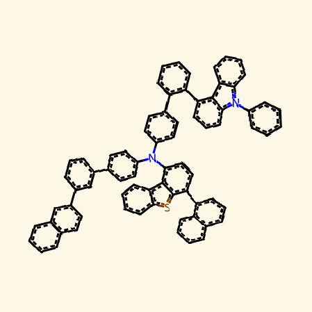 c1ccc(-n2c3ccccc3c3c(-c4ccccc4-c4ccc(N(c5ccc(-c6cccc(-c7ccc8ccccc8c7)c6)cc5)c5ccc(-c6cccc7ccccc67)c6sc7ccccc7c56)cc4)cccc32)cc1